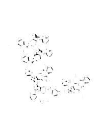 COc1ccnc(-n2nnc3c2CCN(C(=O)c2cccc(C(F)(F)F)c2Cl)C3)c1.C[C@@H]1c2nnn(-c3ccn[nH]3)c2CCN1C(=O)c1cccc(C(F)(F)F)c1Cl.C[C@H]1c2nnn(-c3ccn[nH]3)c2CCN1C(=O)c1cccc(C(F)(F)F)c1Cl.Cc1c(C(=O)N2CCc3c(nnn3-c3ccccn3)C2)ccc(F)c1F.O=C(c1cccc(C(F)(F)F)c1Cl)N1CCc2c(nnn2-c2cccc(F)n2)C1